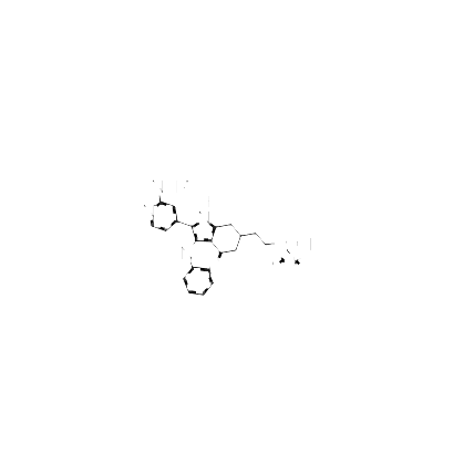 CC(=O)Nc1cc(-c2[nH]c3c(c2Nc2ccccc2)C(=O)CC(CCOS(C)(=O)=O)C3)ccn1